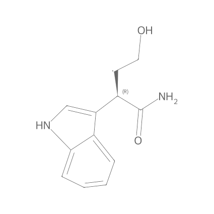 NC(=O)[C@H]([CH]CO)c1c[nH]c2ccccc12